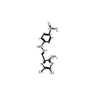 Nc1nc(Cl)c(Cl)nc1C=NNc1ccc([N+](=O)[O-])cc1